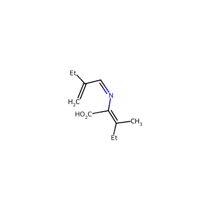 C=C(/C=N\C(C(=O)O)=C(/C)CC)CC